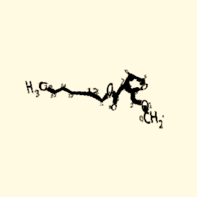 [CH2]OCc1occc1C(=O)OCCCCCC